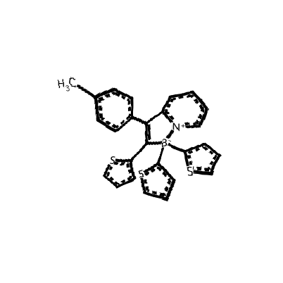 Cc1ccc(C2=C(c3cccs3)[B-](c3cccs3)(c3cccs3)[n+]3ccccc32)cc1